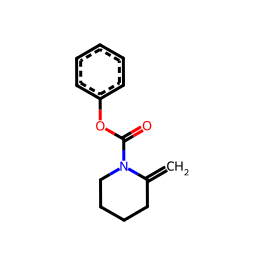 C=C1CCCCN1C(=O)Oc1ccccc1